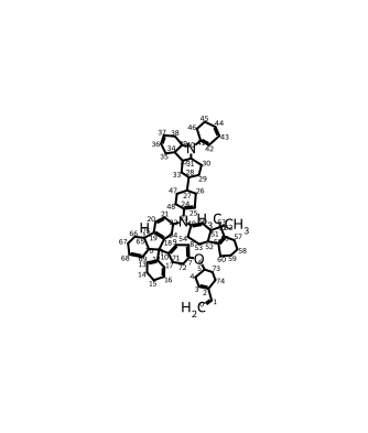 C=CC1=CCC(OC2=CC=C(C3(C4=CCCC=C4)C4=C(C=CC(N(C5=CCC(C6CCC7C(C6)C6CC=CCC6N7C6=CC=CCC6)CC5)C5=CC6C(CC5)C5=C(CCCC5)C6(C)C)C4)[C@@H]4CCC=CC43)CC2)CC1